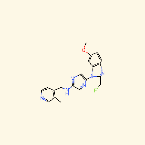 COc1ccc2nc(CF)n(-c3cnc(NCc4ccncc4C)cn3)c2c1